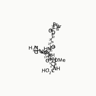 COc1cc(NC(=O)O)ccc1NC(=O)C(CCCNC(N)=O)NC(=O)CNC(=O)CCCCCOC(=O)C(CBr)CBr